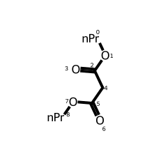 CCCOC(=O)CC(=O)OCCC